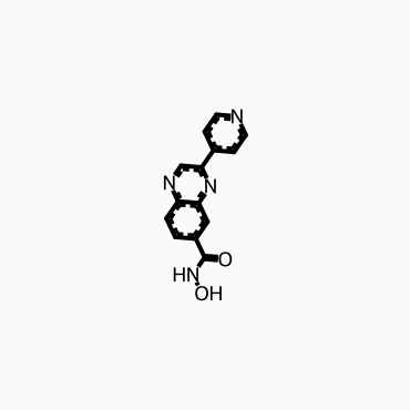 O=C(NO)c1ccc2ncc(-c3ccncc3)nc2c1